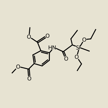 CCO[Si](C)(OCC)C(CC)C(=O)Nc1ccc(C(=O)OC)cc1C(=O)OC